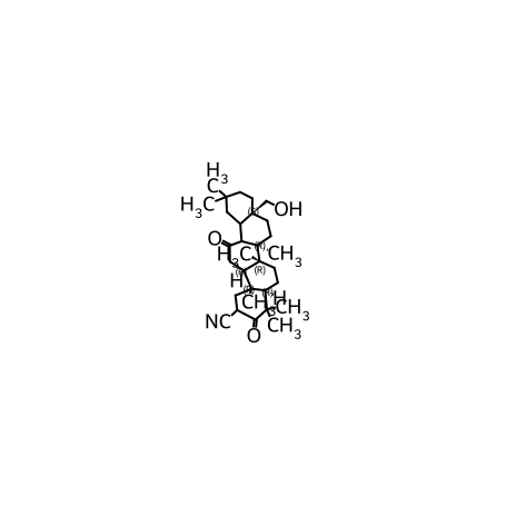 CC1(C)CC[C@]2(CO)CC[C@]3(C)C(C(=O)C[C@@H]4[C@@]5(C)CC(C#N)C(=O)C(C)(C)[C@@H]5CC[C@]43C)C2C1